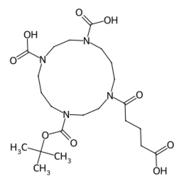 CC(C)(C)OC(=O)N1CCCN(C(=O)O)CCN(C(=O)O)CCCN(C(=O)CCCC(=O)O)CC1